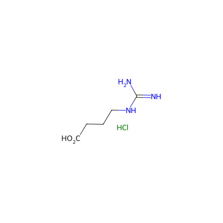 Cl.N=C(N)NCCCC(=O)O